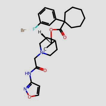 O=C(C[N+]12CCC(CC1)[C@@H](OC(=O)C1(c3cccc(F)c3)CCCCCC1)C2)Nc1ccon1.[Br-]